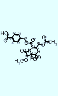 CO[C@@H]1C(=O)N2[C@@H]1C1(CC(COC(C)=O)=S2C(=O)OCc2ccc(C(=O)O)cc2)OO1